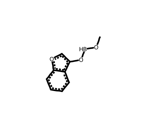 COBOc1coc2ccccc12